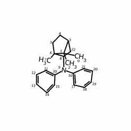 CC1(C)C2CCC1(C)C(N(c1ccccc1)c1ccccc1)C2